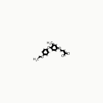 CCOc1ccc(Oc2ccc(OCC=C(Cl)Cl)cc2C)cc1